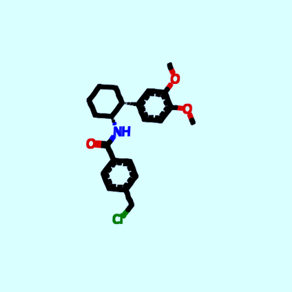 COc1ccc([C@H]2CCCC[C@H]2NC(=O)c2ccc(CCl)cc2)cc1OC